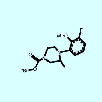 COc1c(F)cccc1N1CCN(C(=O)OC(C)(C)C)CC1C